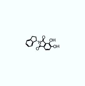 O=C1c2ccc(O)c(O)c2C(=O)N1[C@H]1CCc2ccccc21